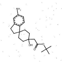 CC(C)(C)OC(=O)CC1(O)CCC2(CCc3cc(N)ccc32)CC1